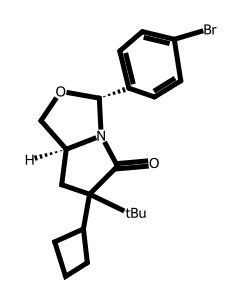 CC(C)(C)C1(C2CCC2)C[C@H]2CO[C@H](c3ccc(Br)cc3)N2C1=O